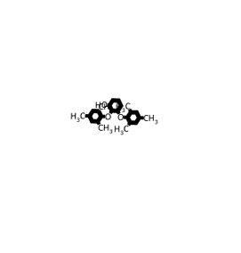 Cc1cc(C)c(Oc2cccc(O)c2Oc2c(C)cc(C)cc2C)c(C)c1